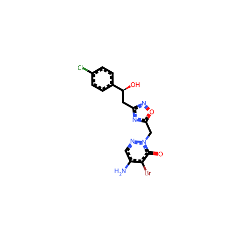 Nc1cnn(Cc2nc(C[C@H](O)c3ccc(Cl)cc3)no2)c(=O)c1Br